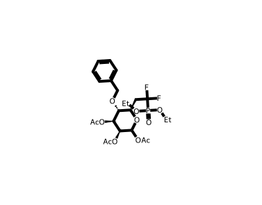 CCOP(=O)(OCC)C(F)(F)C[C@H]1OC(OC(C)=O)[C@@H](OC(C)=O)[C@@H](OC(C)=O)[C@@H]1OCc1ccccc1